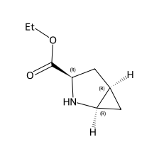 CCOC(=O)[C@H]1C[C@H]2C[C@H]2N1